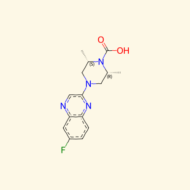 C[C@@H]1CN(c2cnc3cc(F)ccc3n2)C[C@H](C)N1C(=O)O